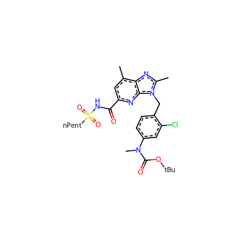 CCCCCS(=O)(=O)NC(=O)c1cc(C)c2nc(C)n(Cc3ccc(N(C)C(=O)OC(C)(C)C)cc3Cl)c2n1